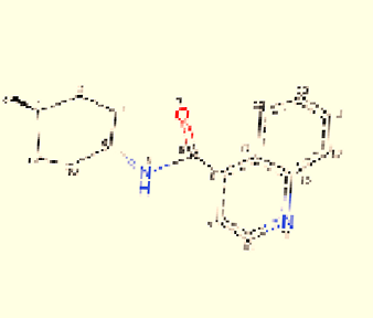 C[C@H]1CC[C@H](NC(=O)c2ccnc3ccccc23)CC1